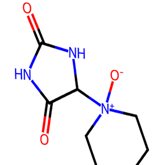 O=C1NC(=O)C([N+]2([O-])CCCCC2)N1